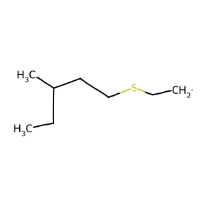 [CH2]CSCCC(C)CC